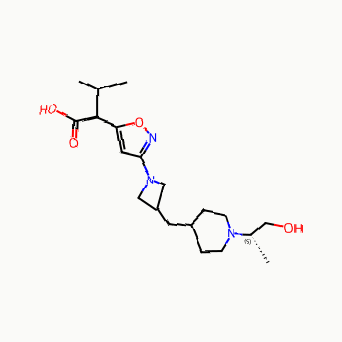 CC(C)C(C(=O)O)c1cc(N2CC(CC3CCN([C@@H](C)CO)CC3)C2)no1